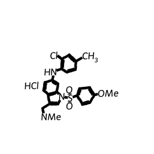 CNCc1cn(S(=O)(=O)c2ccc(OC)cc2)c2cc(Nc3ccc(C)cc3Cl)ccc12.Cl